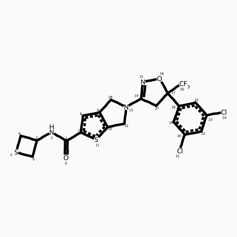 O=C(NC1CSC1)c1cc2c(s1)CN(C1=NOC(c3cc(Cl)cc(Cl)c3)(C(F)(F)F)C1)C2